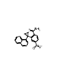 NC(=O)c1ccc([N+](=O)[O-])cc1C1(c2cccc3ccccc23)CC1